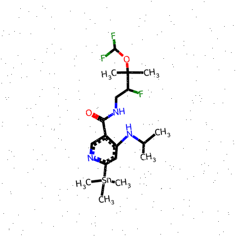 CC(C)Nc1c[c]([Sn]([CH3])([CH3])[CH3])ncc1C(=O)NCC(F)C(C)(C)OC(F)F